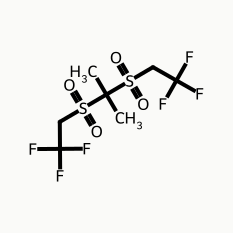 CC(C)(S(=O)(=O)CC(F)(F)F)S(=O)(=O)CC(F)(F)F